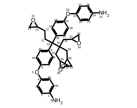 Nc1ccc(Oc2ccc(C(CCC3CO3)(c3ccc(Oc4ccc(N)cc4)cc3)C(CC3CO3)(CC3CO3)CC3CO3)cc2)cc1